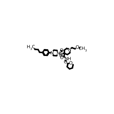 CCCCc1ccc(N2CCN(S(=O)(=O)C3(C(=O)NOC4CCCCO4)CCN(CCOC)CC3)CC2)cc1